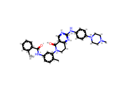 Cc1ccc(NC(=O)c2ccccc2C(C)(C)C)cc1N1CCc2nc(Nc3ccc(N4CCN(C)CC4)cc3)ncc2C1=O